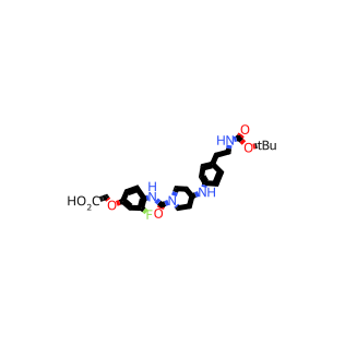 CC(C)(C)OC(=O)NCCc1ccc(NC2CCN(C(=O)Nc3ccc(OCC(=O)O)cc3F)CC2)cc1